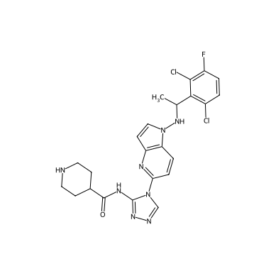 CC(Nn1ccc2nc(-n3cnnc3NC(=O)C3CCNCC3)ccc21)c1c(Cl)ccc(F)c1Cl